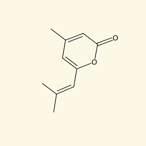 CC(C)=Cc1cc(C)cc(=O)o1